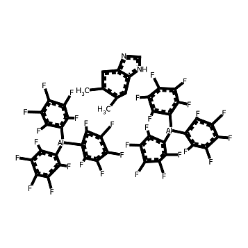 Cc1cc2nc[nH]c2cc1C.Fc1c(F)c(F)[c]([Al]([c]2c(F)c(F)c(F)c(F)c2F)[c]2c(F)c(F)c(F)c(F)c2F)c(F)c1F.Fc1c(F)c(F)[c]([Al]([c]2c(F)c(F)c(F)c(F)c2F)[c]2c(F)c(F)c(F)c(F)c2F)c(F)c1F